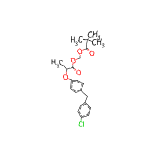 CC(Oc1ccc(Cc2ccc(Cl)cc2)cc1)C(=O)OCOC(=O)C(C)(C)C